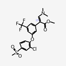 COC(=O)/C(=C\N(C)C)c1cc(Oc2ccc(S(C)(=O)=O)cc2Cl)cc(C(F)(F)F)c1